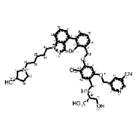 N#Cc1cncc(COc2cc(OCc3cccc(-c4cccc5c4cnn5CCCCCN4CC[C@@H](O)C4)c3Br)c(Cl)cc2CN[C@@H](CO)C(=O)O)c1